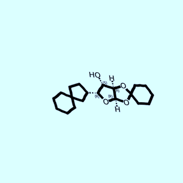 O[C@@H]1[C@H]2OC3(CCCCC3)O[C@H]2O[C@@H]1C1CCC2(CCCCC2)C1